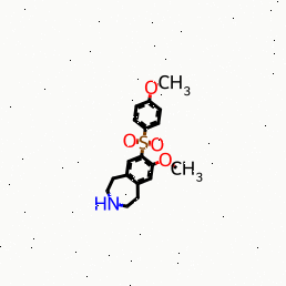 COc1ccc(S(=O)(=O)c2cc3c(cc2OC)CCNCC3)cc1